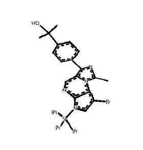 Cc1nc(-c2ccc(C(C)(C)O)cc2)c2cnc3c(c(Br)cn3[Si](C(C)C)(C(C)C)C(C)C)n12